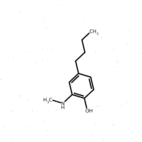 CCCCc1ccc(O)c(NC)c1